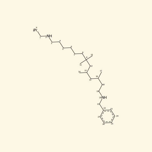 CC(C)CNCCCCCCC(C)(C)CC(C)CC(C)CCNCc1ccccc1